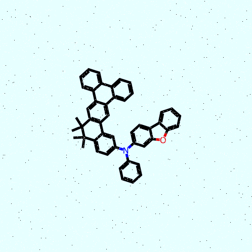 CC1(C)c2ccc(N(c3ccccc3)c3ccc4c(c3)oc3ccccc34)cc2-c2cc3c4ccccc4c4ccccc4c3cc2C1(C)C